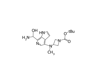 CN(c1cnc(C(N)O)c2[nH]ccc12)C1CN(C(=O)OC(C)(C)C)C1